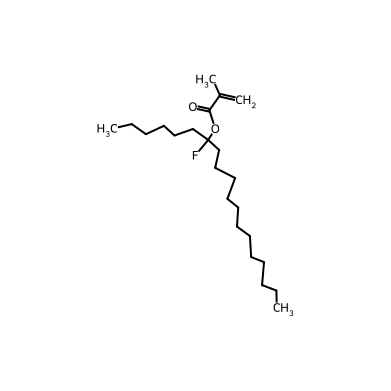 C=C(C)C(=O)OC(F)(CCCCCC)CCCCCCCCCCCC